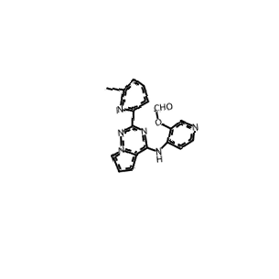 Cc1cccc(-c2nc(Nc3ccncc3OC=O)c3cccn3n2)n1